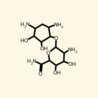 NC(=O)C1OC(OC2C(N)CC(N)C(O)C2O)C(N)C(O)C1O